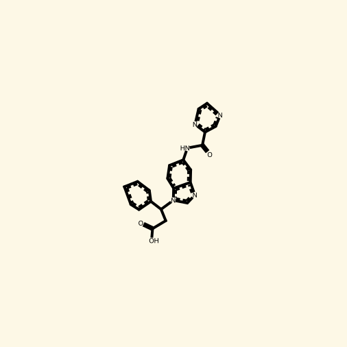 O=C(O)CC(c1ccccc1)n1cnc2cc(NC(=O)c3cnccn3)ccc21